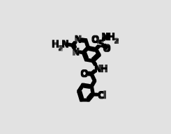 Nc1ncc2c(S(N)(=O)=O)cc(NC(=O)Cc3ccccc3Cl)cc2n1